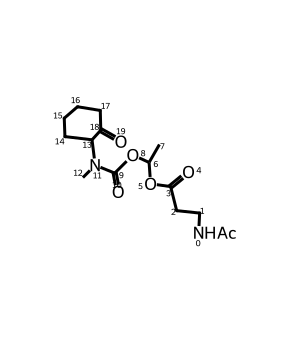 CC(=O)NCCC(=O)OC(C)OC(=O)N(C)C1CCCCC1=O